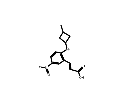 CC1CC(Nc2ccc([N+](=O)[O-])cc2/C=C/C(=O)O)C1